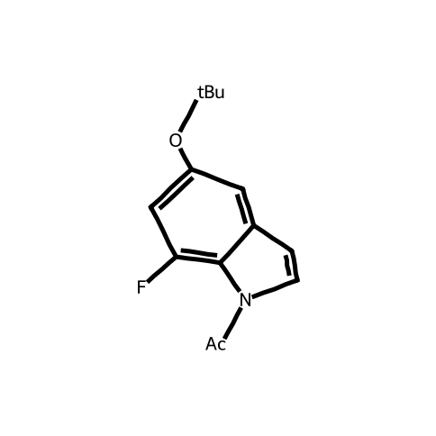 CC(=O)n1ccc2cc(OC(C)(C)C)cc(F)c21